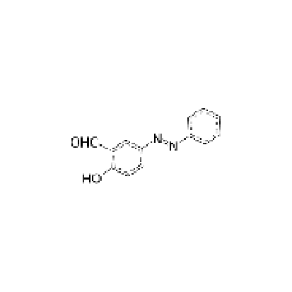 O=Cc1cc(N=Nc2ccccc2)ccc1O